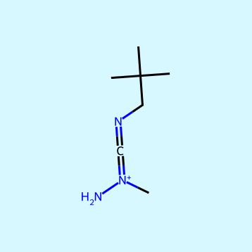 C[N+](N)=C=NCC(C)(C)C